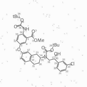 COC(=O)c1cc(Oc2ccc3c(c2)C[C@@H](N(C[C@H](O)c2cccc(Cl)c2)C(=O)OC(C)(C)C)CC3)ccc1NC(=O)OC(C)(C)C